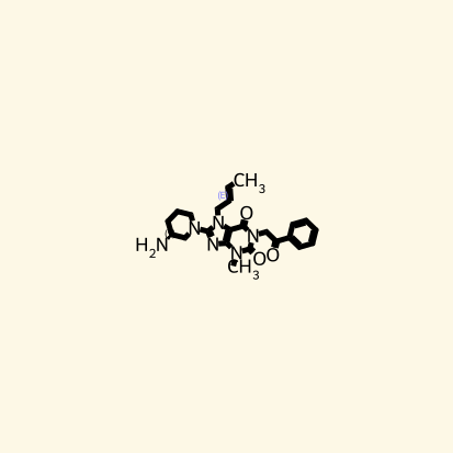 C/C=C/Cn1c(N2CCC[C@H](N)C2)nc2c1c(=O)n(CC(=O)c1ccccc1)c(=O)n2C